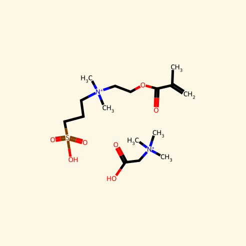 C=C(C)C(=O)OCC[N+](C)(C)CCCS(=O)(=O)O.C[N+](C)(C)CC(=O)O